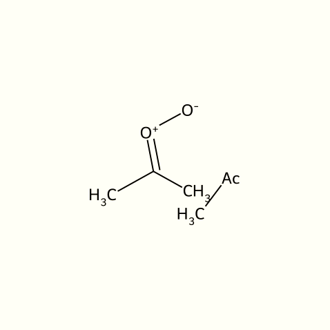 CC(C)=O.CC(C)=[O+][O-]